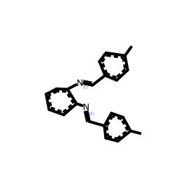 Cc1ccc(/C=N/c2ccccc2/N=C/c2ccc(C)cc2)cc1